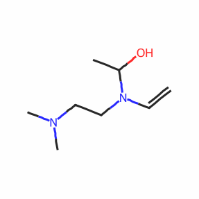 C=CN(CCN(C)C)C(C)O